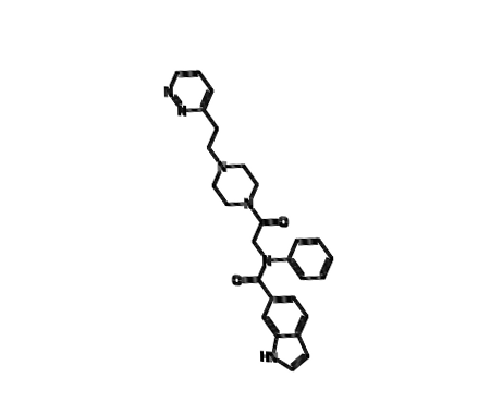 O=C(CN(C(=O)c1ccc2cc[nH]c2c1)c1ccccc1)N1CCN(CCc2cccnn2)CC1